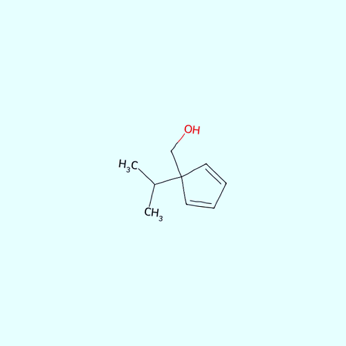 CC(C)C1(CO)C=CC=C1